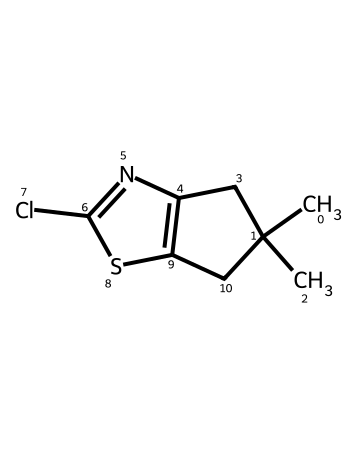 CC1(C)Cc2nc(Cl)sc2C1